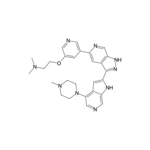 CN(C)CCOc1cncc(-c2cc3c(-c4cc5c(N6CCN(C)CC6)cncc5[nH]4)n[nH]c3cn2)c1